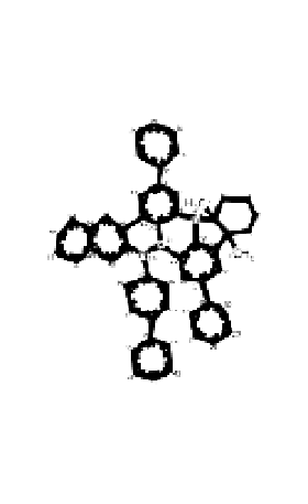 CC12CCCCC1(C)N1c3cc(-c4ccccc4)cc4c3B(c3cc(-c5ccccc5)cc2c31)N(c1ccc(-c2ccccc2)cc1)c1cc2ccccc2cc1-4